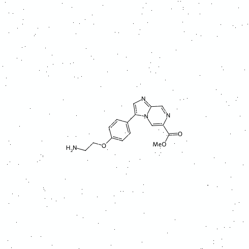 COC(=O)c1cn2c(-c3ccc(OCCN)cc3)cnc2cn1